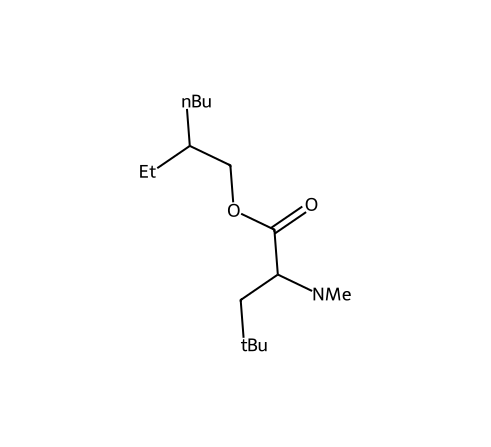 CCCCC(CC)COC(=O)C(CC(C)(C)C)NC